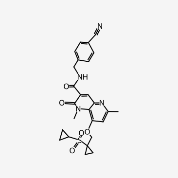 Cc1cc(OCC2(S(=O)(=O)C3CC3)CC2)c2c(cc(C(=O)NCc3ccc(C#N)cc3)c(=O)n2C)n1